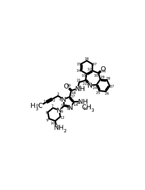 CC#CCn1c(N2CCCC(N)C2)nc(NC)c1C(=O)NCc1nc2ccccc2c(=O)c2c1C=CCC2